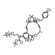 COc1ccc(CO[C@@H]2/C=C\[C@@H](C)[C@H](C)OC(=O)c3c(O)cc(N(CCO[Si](C)(C)C(C)(C)C)C(=O)OC(C)(C)C)cc3/C=C/C[C@@H]3OC(C)(C)O[C@@H]32)cc1